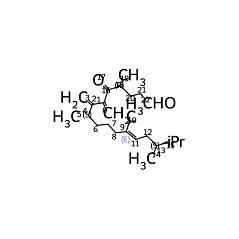 C=C(C(=C)[C@@H](C)CCC/C(C)=C/C[C@H](C)C(C)C)C(=O)[C@H](C)CCC=O